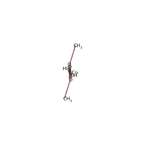 CCCCCCCCCCCCCCCCCCOc1ccc(CN=C=C=NCc2ccc(OCCCCCCCCCCCCCCCCCC)cc2O)c(O)c1.[Co]